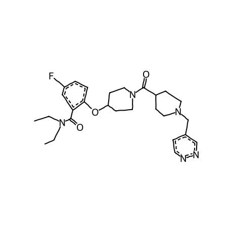 CCN(CC)C(=O)c1cc(F)ccc1OC1CCN(C(=O)C2CCN(Cc3ccnnc3)CC2)CC1